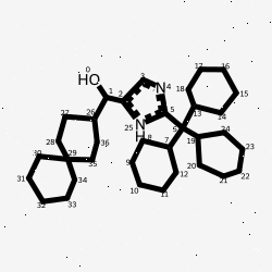 OC(c1cnc(C(C2CCCCC2)(C2CCCCC2)C2CCCCC2)[nH]1)C1CCC2(CCCCC2)CC1